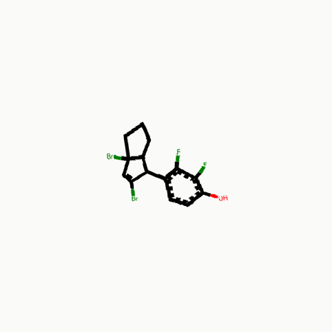 Oc1ccc(C2C(Br)=CC3(Br)CCCC23)c(F)c1F